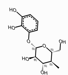 C[C@H]1[C@H](O)[C@@H](O)[C@H](Oc2cccc(O)c2O)O[C@@H]1CO